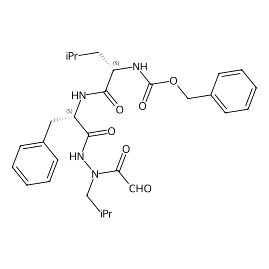 CC(C)C[C@H](NC(=O)OCc1ccccc1)C(=O)N[C@@H](Cc1ccccc1)C(=O)NN(CC(C)C)C(=O)C=O